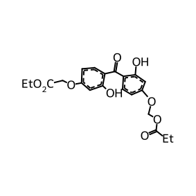 CCOC(=O)COc1ccc(C(=O)c2ccc(OCOC(=O)CC)cc2O)c(O)c1